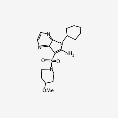 COC1CCN(S(=O)(=O)c2c(N)n(C3CCCCC3)c3nccnc23)CC1